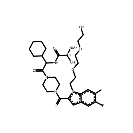 CN[C@@H](C)C(=O)NC(C(=O)N1CCN(C(=O)c2cc3cc(F)c(F)cc3n2CCOCCOCCO)CC1)C1CCCCC1